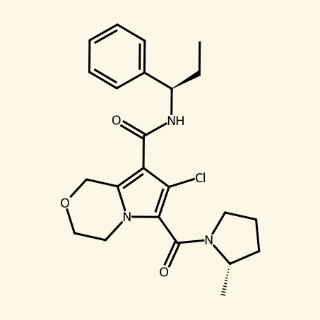 CC[C@@H](NC(=O)c1c(Cl)c(C(=O)N2CCC[C@@H]2C)n2c1COCC2)c1ccccc1